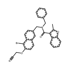 Cc1oc2ccccc2c1C(=O)N(Cc1ccccc1)Cc1ccc2c(Br)c(OCC#N)ccc2c1